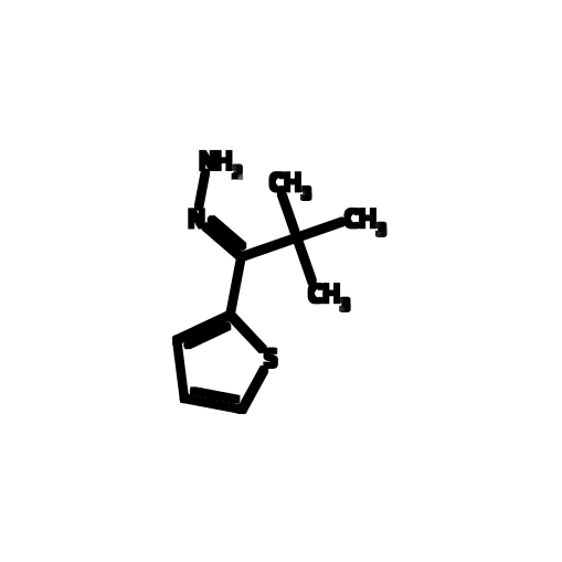 CC(C)(C)C(=NN)c1cccs1